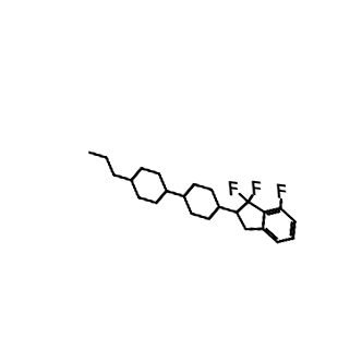 CCCC1CCC(C2CCC(C3Cc4cccc(F)c4C3(F)F)CC2)CC1